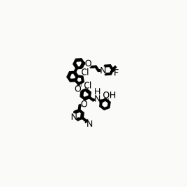 CC1(F)CCN(CCCOc2cccc(-c3cccc4c3CC[C@@H]4Oc3cc(OCc4cncc(C#N)c4)c(CN[C@@H]4CCCC[C@@H]4O)cc3Cl)c2Cl)CC1